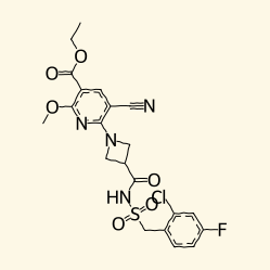 CCOC(=O)c1cc(C#N)c(N2CC(C(=O)NS(=O)(=O)Cc3ccc(F)cc3Cl)C2)nc1OC